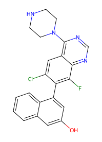 Oc1cc(-c2c(Cl)cc3c(N4CCNCC4)ncnc3c2F)c2ccccc2c1